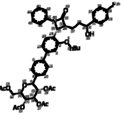 CCCCOc1cc(-c2ccc(C3O[C@H](COC(C)=O)[C@@H](OC(C)=O)[C@H](OC(C)=O)[C@H]3OC(C)=O)cc2)ccc1[C@H]1[C@H](CC[C@H](O)c2ccc(F)cc2)C(=O)N1c1ccccc1